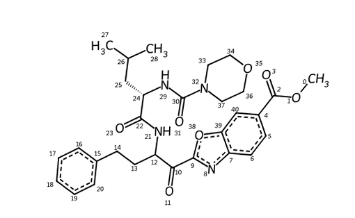 COC(=O)c1ccc2nc(C(=O)C(CCc3ccccc3)NC(=O)[C@H](CC(C)C)NC(=O)N3CCOCC3)oc2c1